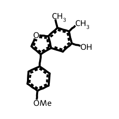 COc1ccc(-c2coc3c(C)c(C)c(O)cc23)cc1